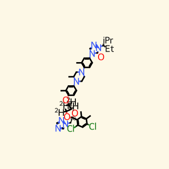 [2H]C([2H])(Oc1ccc(N2CCN(c3ccc(-n4cnn(C(CC)C(C)C)c4=O)cc3C)CC2C)cc1C)[C@@]1([2H])O[C@](Cn2cncn2)(c2c(Cl)cc(Cl)c(C)c2C)OC1([2H])C